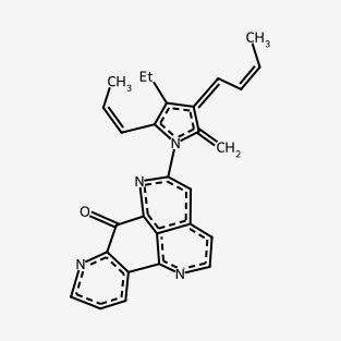 C=c1/c(=C\C=C/C)c(CC)c(/C=C\C)n1-c1cc2ccnc3c2c(n1)C(=O)c1ncccc1-3